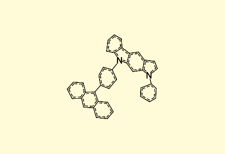 c1ccc(-n2ccc3cc4c5ccccc5n(-c5ccc(-c6c7ccccc7cc7ccccc67)cc5)c4cc32)cc1